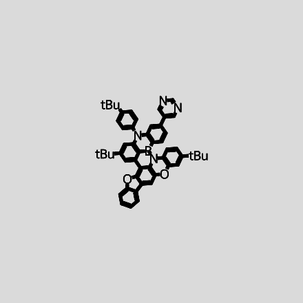 CC(C)(C)c1ccc(N2c3cc(-c4cncnc4)ccc3B3c4c(cc(C(C)(C)C)cc42)-c2c4c(cc5c2oc2ccccc25)Oc2cc(C(C)(C)C)ccc2N34)cc1